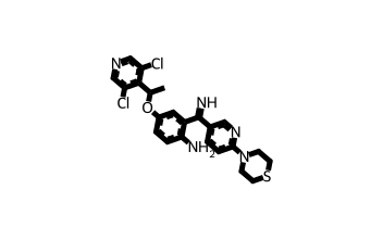 CC(Oc1ccc(N)c(C(=N)c2ccc(N3CCSCC3)nc2)c1)c1c(Cl)cncc1Cl